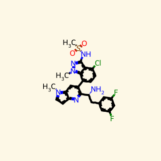 Cn1ccc2nc([C@H](N)Cc3cc(F)cc(F)c3)c(-c3ccc(Cl)c4c(NS(C)(=O)=O)nn(C)c34)cc21